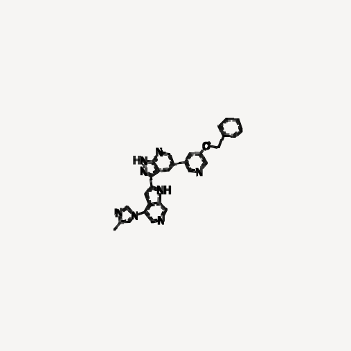 Cc1cn(-c2cncc3[nH]c(-c4n[nH]c5ncc(-c6cncc(OCc7ccccc7)c6)cc45)cc23)cn1